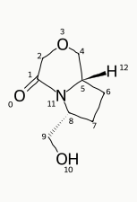 O=C1COC[C@@H]2CC[C@H](CO)N12